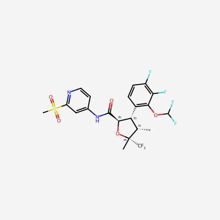 C[C@H]1[C@@H](c2ccc(F)c(F)c2OC(F)F)[C@H](C(=O)Nc2ccnc(S(C)(=O)=O)c2)O[C@@]1(C)C(F)(F)F